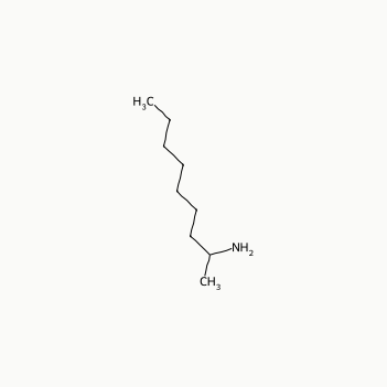 CCCCCCCC(C)N